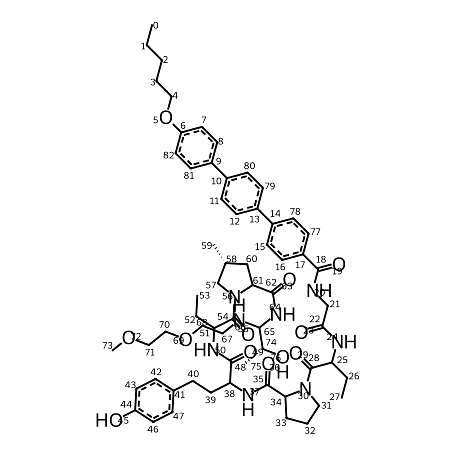 CCCCCOc1ccc(-c2ccc(-c3ccc(C(=O)NCC(=O)NC(CC)C(=O)N4CCCC4C(=O)NC(CCc4ccc(O)cc4)C(=O)NC(CC)C(=O)N4C[C@H](C)CC4C(=O)NC(NCCOCCOC)[C@@H](C)O)cc3)cc2)cc1